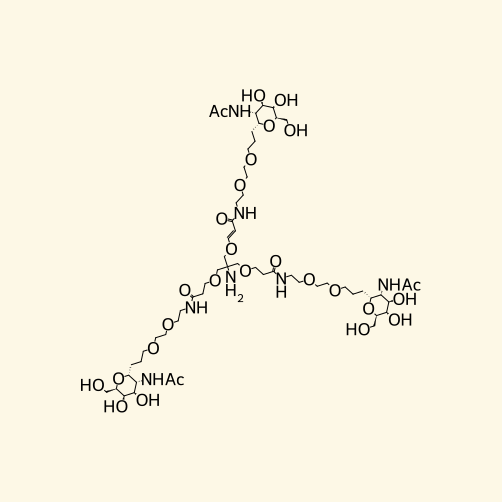 CC(=O)N[C@@H]1[C@@H](O)[C@@H](O)[C@@H](CO)O[C@@H]1CCCOCCOCCNC(=O)C=COCC(N)(COCCC(=O)NCCOCCOCCC[C@H]1O[C@H](CO)[C@H](O)[C@H](O)[C@H]1NC(C)=O)COCCC(=O)NCCOCCOCCC[C@H]1O[C@H](CO)[C@H](O)[C@H](O)[C@H]1NC(C)=O